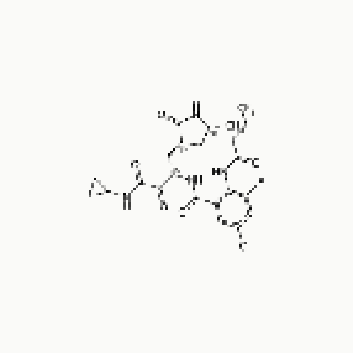 C[C@@H]1C[C@@H](C[C@H](NC(=O)c2cc(Cl)cc(F)c2NC(=O)CCC(F)(F)F)C(=O)C(=O)NC2CC2)C(=O)N1